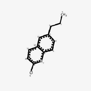 CCCc1ccc2nc(Cl)ccc2c1